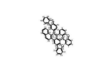 c1ccc2c(c1)Oc1cccc3c1N2c1c2c(cc4c1oc1ccccc14)-c1ccc4ccccc4c1N(c1ccc4sc5ccccc5c4c1)B32